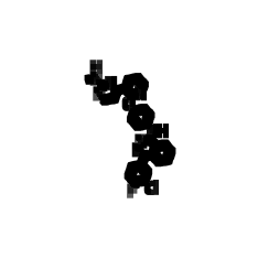 CNc1nccc(-c2cccnc2Oc2ccc(Nc3nnc(-c4ccc(F)c(Cl)c4)c4ccccc34)cc2)n1